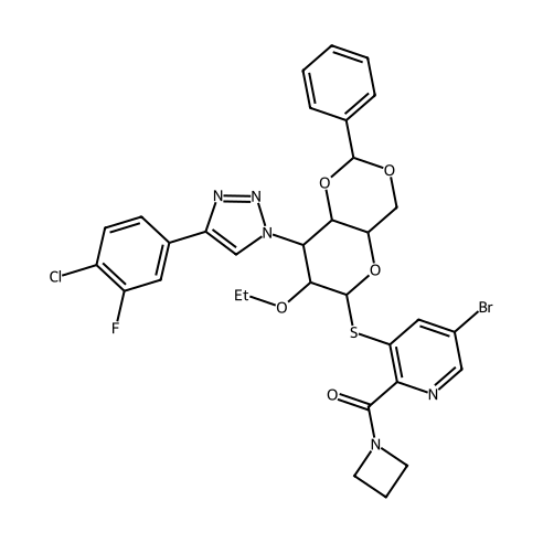 CCOC1C(Sc2cc(Br)cnc2C(=O)N2CCC2)OC2COC(c3ccccc3)OC2C1n1cc(-c2ccc(Cl)c(F)c2)nn1